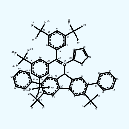 CC(C)(C)c1cc2c(cc1-c1ccccc1)[CH]([Zr]([C]1=CC=CC1)=[C](c1cc(C(F)(F)F)cc(C(F)(F)F)c1)c1cc(C(F)(F)F)cc(C(F)(F)F)c1)c1cc(-c3ccccc3)c(C(C)(C)C)cc1-2